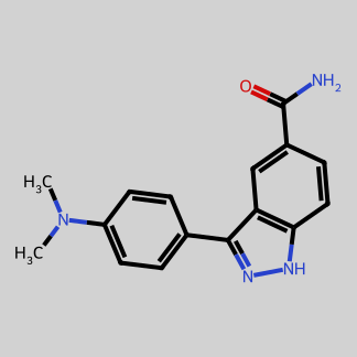 CN(C)c1ccc(-c2n[nH]c3ccc(C(N)=O)cc23)cc1